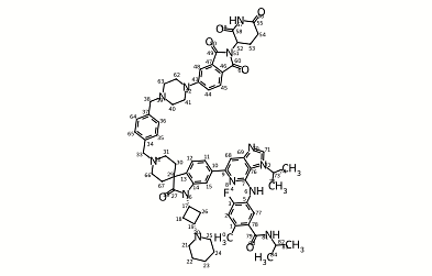 Cc1cc(F)c(Nc2nc(-c3ccc4c(c3)N([C@H]3C[C@@H](N5CCCCC5)C3)C(=O)C43CCN(Cc4ccc(CN5CCN(c6ccc7c(c6)C(=O)N(C6CCC(=O)NC6=O)C7=O)CC5)cc4)CC3)cc3ncn(C(C)C)c23)cc1C(=O)NC(C)C